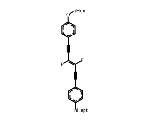 CCCCCCCc1ccc(C#C/C(F)=C(\F)C#Cc2ccc(OCCCCCC)cc2)cc1